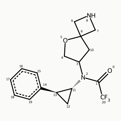 O=C(N(C1COC2(CNC2)C1)[C@@H]1C[C@H]1c1ccccc1)C(F)(F)F